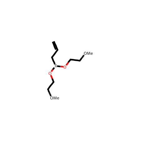 C=C[CH2][Ti]([O]CCOC)[O]CCOC